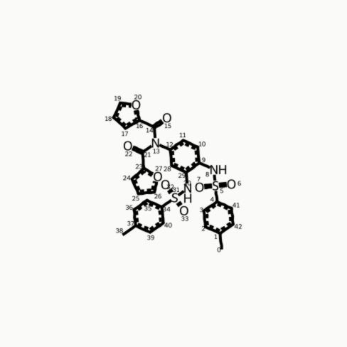 Cc1ccc(S(=O)(=O)Nc2ccc(N(C(=O)c3ccco3)C(=O)c3ccco3)cc2NS(=O)(=O)c2ccc(C)cc2)cc1